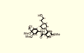 CCOC1(OC)C=CC(NC(=O)c2cnc(SC)nc2N2CCN(CCO)CC2)=CC1OC